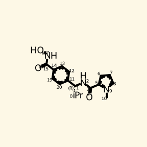 CC(C)[C@@H](NC(=O)c1cccn1C)c1ccc(C(=O)NO)cc1